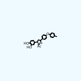 CC(=O)N1N=C(c2ccc(Oc3ccc(C)cc3)cc2)CC1c1ccc(O)c(O)c1